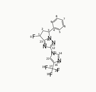 FC1CC(c2ccccc2)n2nc(-n3cnc(C(F)(F)F)c3)nc21